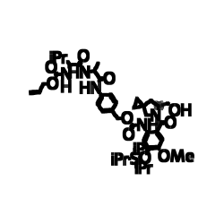 C=CCOC(=O)NC(C(=O)NC(C)C(=O)Nc1ccc(COC(=O)Nc2cc(O[Si](C(C)C)(C(C)C)C(C)C)c(OC)cc2C(=O)N2CC3(CC3)C[C@H]2CO)cc1)C(C)C